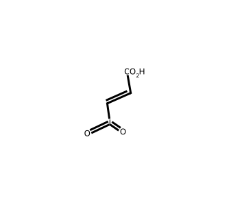 O=C(O)/C=C/I(=O)=O